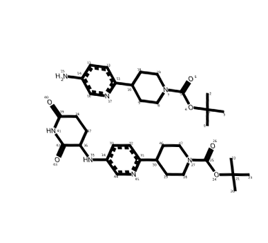 CC(C)(C)OC(=O)N1CCC(c2ccc(N)cn2)CC1.CC(C)(C)OC(=O)N1CCC(c2ccc(NC3CCC(=O)NC3=O)cn2)CC1